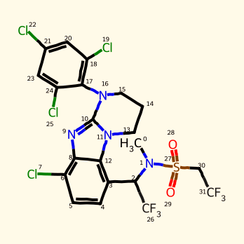 CN(C(c1ccc(Cl)c2nc3n(c12)CCCN3c1c(Cl)cc(Cl)cc1Cl)C(F)(F)F)S(=O)(=O)CC(F)(F)F